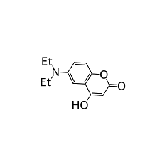 CCN(CC)c1ccc2oc(=O)cc(O)c2c1